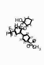 C[C@@]1(O)CCCC[C@H]1Oc1ncc(C(F)(F)F)cc1-c1ccc(S(C)(=O)=O)cc1